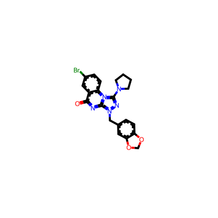 O=c1nc2n(Cc3ccc4c(c3)OCO4)nc(N3CCCC3)n2c2ccc(Br)cc12